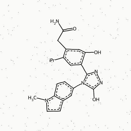 CC(C)c1cc(-c2nnc(O)n2-c2ccc3c(ccn3C)c2)c(O)cc1CC(N)=O